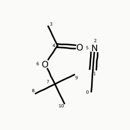 CC#N.CC(=O)OC(C)(C)C